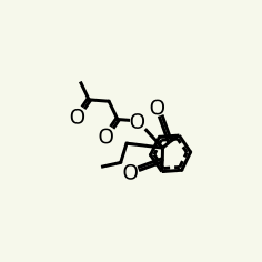 CCCC1(OC(=O)CC(C)=O)C(=O)c2ccc(cc2)C1=O